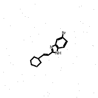 Brc1ccc2[nH]c(C=CC3CCCCC3)nc2c1